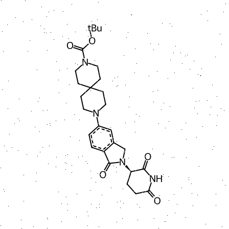 CC(C)(C)OC(=O)N1CCC2(CC1)CCN(c1ccc3c(c1)CN([C@@H]1CCC(=O)NC1=O)C3=O)CC2